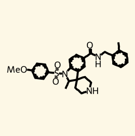 COc1ccc(S(=O)(=O)N2c3ccc(C(=O)NCc4ccccc4C)cc3C3(CCNCC3)C2C)cc1